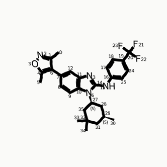 Cc1noc(C)c1-c1ccc2c(c1)nc(Nc1ccc(C(F)(F)F)cc1)n2[C@H]1C[C@@H](C)CC(C)(C)C1